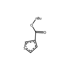 CCCCOC(=O)c1[c]scc1